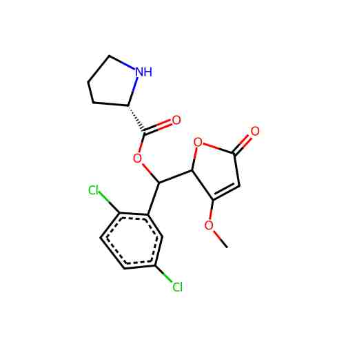 COC1=CC(=O)OC1C(OC(=O)[C@@H]1CCCN1)c1cc(Cl)ccc1Cl